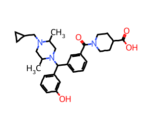 CC1CN(C(c2cccc(O)c2)c2cccc(C(=O)N3CCC(C(=O)O)CC3)c2)C(C)CN1CC1CC1